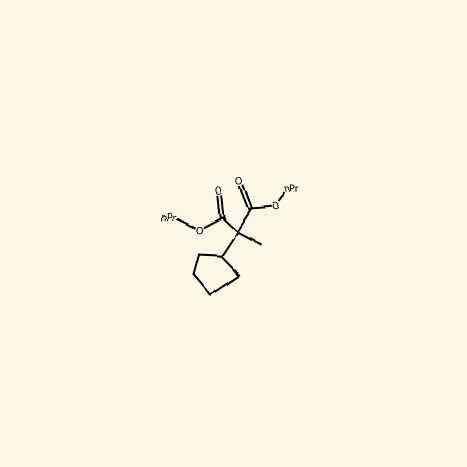 CCCOC(=O)C(C)(C(=O)OCCC)C1CCCC1